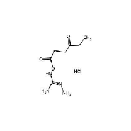 CCC(=O)CCC(=O)ONC(N)=NN.Cl